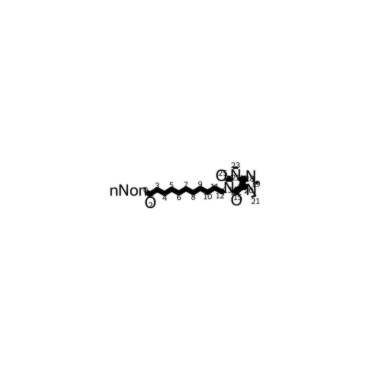 CCCCCCCCCC(=O)CCCCCCCCCCn1c(=O)c2c(ncn2C)n(C)c1=O